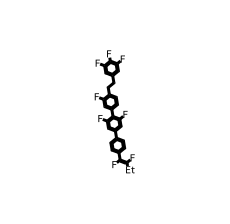 CC/C(F)=C(\F)c1ccc(-c2cc(F)c(-c3ccc(CCc4cc(F)c(F)c(F)c4)c(F)c3)c(F)c2)cc1